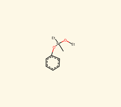 CCO[Si](C)(CC)Oc1ccccc1